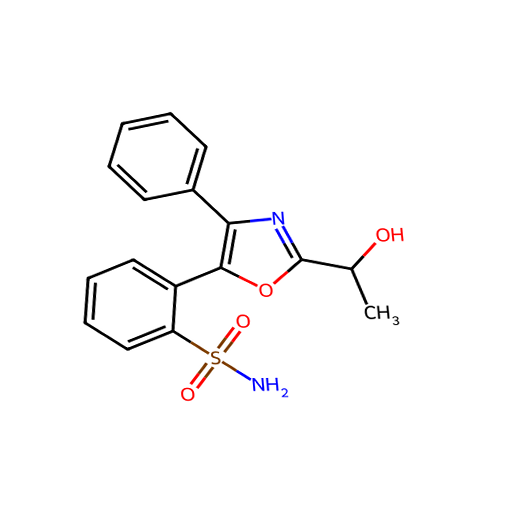 CC(O)c1nc(-c2ccccc2)c(-c2ccccc2S(N)(=O)=O)o1